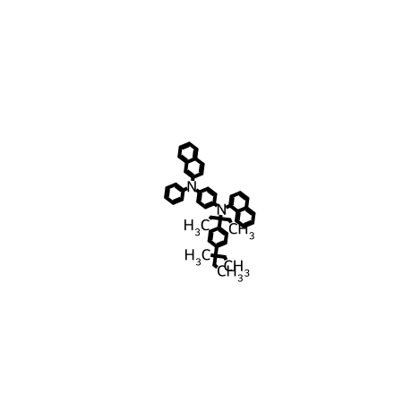 CCC(C)(CC)c1ccc(C(CC)(CC)N(c2ccc(N(c3ccccc3)c3ccc4ccccc4c3)cc2)c2cccc3ccccc23)cc1